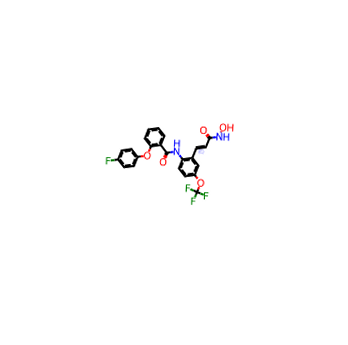 O=C(/C=C/c1cc(OC(F)(F)F)ccc1NC(=O)c1ccccc1Oc1ccc(F)cc1)NO